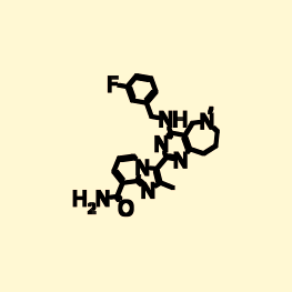 Cc1nc2c(C(N)=O)cccn2c1-c1nc2c(c(NCc3cccc(F)c3)n1)CN(C)CCC2